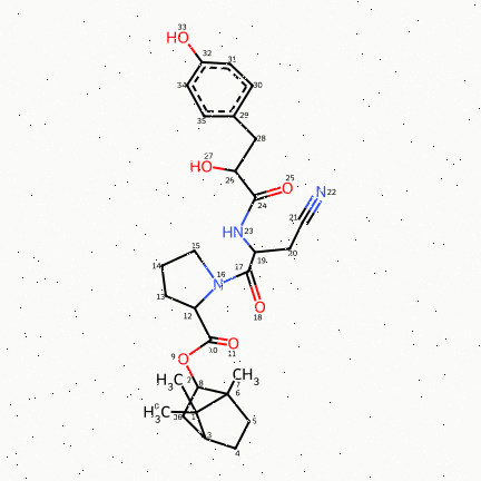 CC1(C)C2CCC1(C)C(OC(=O)C1CCCN1C(=O)C(CC#N)NC(=O)C(O)Cc1ccc(O)cc1)C2